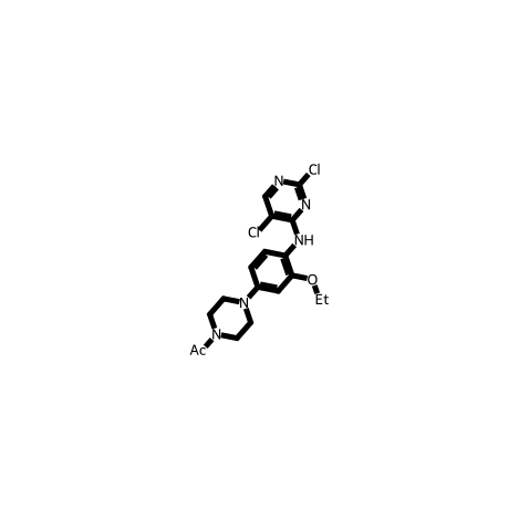 CCOc1cc(N2CCN(C(C)=O)CC2)ccc1Nc1nc(Cl)ncc1Cl